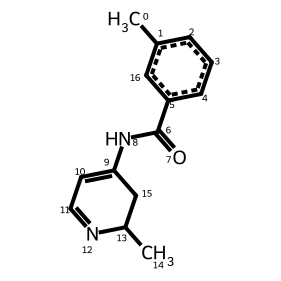 Cc1cccc(C(=O)NC2=CC=NC(C)C2)c1